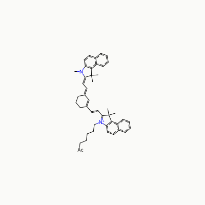 CC(=O)CCCCC[N+]1=C(/C=C/C2=CC(=C/C=C3/N(C)c4ccc5ccccc5c4C3(C)C)/CCC2)C(C)(C)c2c1ccc1ccccc21